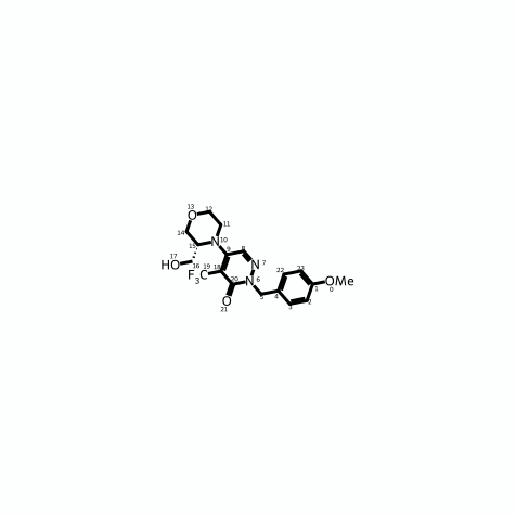 COc1ccc(Cn2ncc(N3CCOC[C@H]3CO)c(C(F)(F)F)c2=O)cc1